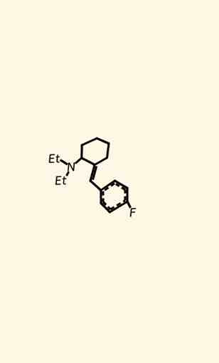 CCN(CC)C1CCCCC1=Cc1ccc(F)cc1